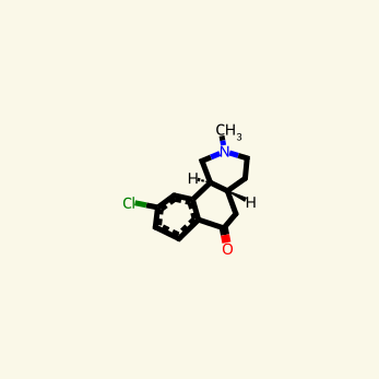 CN1CC[C@@H]2CC(=O)c3ccc(Cl)cc3[C@H]2C1